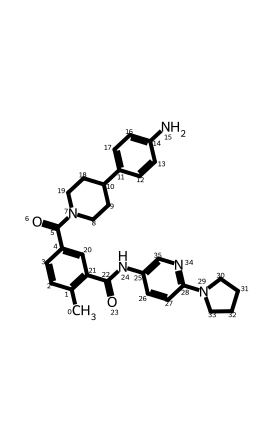 Cc1ccc(C(=O)N2CCC(c3ccc(N)cc3)CC2)cc1C(=O)Nc1ccc(N2CCCC2)nc1